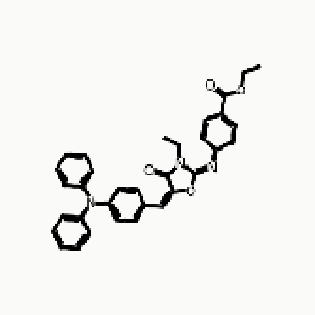 CCOC(=O)C1=CCC(/N=C2/O/C(=C/c3ccc(N(c4ccccc4)c4ccccc4)cc3)C(=O)N2CC)C=C1